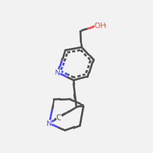 OCc1ccc(C2CN3CCC2CC3)nc1